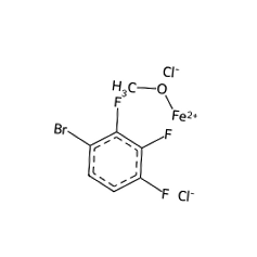 C[O][Fe+2].Fc1ccc(Br)c(F)c1F.[Cl-].[Cl-]